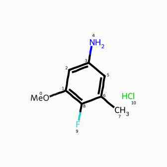 COc1cc(N)cc(C)c1F.Cl